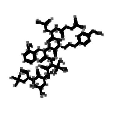 COc1ccc(CSC[C@@H](NC(=O)[C@@H](CC(=O)O)NC(=O)CCC(=O)O)C(=O)N[C@@H](Cc2ccccc2C)C(=O)N[C@H](C(=O)N[C@@H](CC(C)C)C(=O)N[C@H](C=O)CC(F)(F)F)C(C)(C)C)cc1